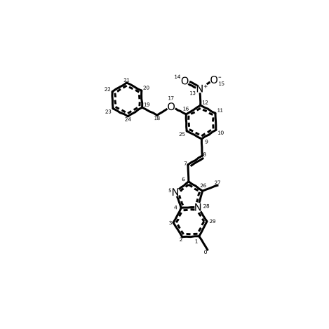 Cc1ccc2nc(C=Cc3ccc([N+](=O)[O-])c(OCc4ccccc4)c3)c(C)n2c1